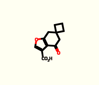 O=C(O)c1coc2c1C(=O)CC1(CCC1)C2